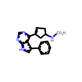 O=C(O)NC1CC=C(c2ncnc3[nH]cc(-c4ccccc4)c23)C1